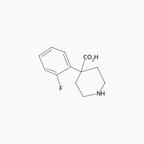 O=C(O)C1(c2ccccc2F)CCNCC1